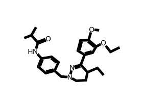 CCOc1cc(C2=NN(Cc3ccc(NC(=O)C(C)C)cc3)CCC2CC)ccc1OC